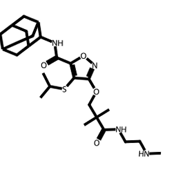 CNCCNC(=O)C(C)(C)COc1noc(C(=O)NC2C3CC4CC(C3)CC2C4)c1SC(C)C